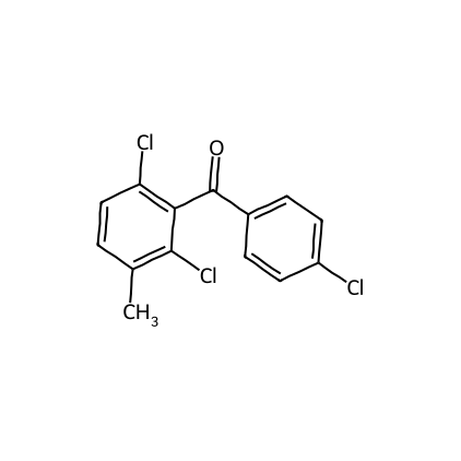 Cc1ccc(Cl)c(C(=O)c2ccc(Cl)cc2)c1Cl